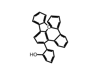 Oc1ccccc1-c1ccc2c(oc3ccccc32)c1-c1ccccc1-c1ccccc1